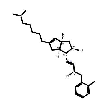 Cc1ccccc1C[C@@H](O)/C=C/[C@@H]1[C@H]2CC(CCCCCN(C)C)=C[C@H]2C[C@H]1O